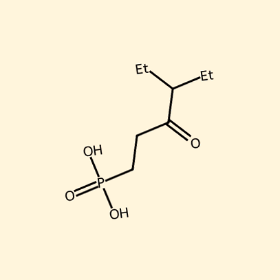 CCC(CC)C(=O)CCP(=O)(O)O